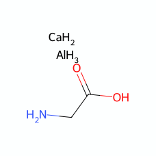 NCC(=O)O.[AlH3].[CaH2]